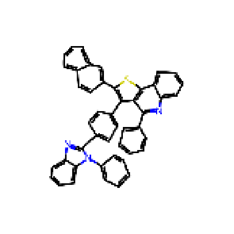 c1ccc(-c2nc3ccccc3c3sc(-c4ccc5ccccc5c4)c(-c4ccc(-c5nc6ccccc6n5-c5ccccc5)cc4)c23)cc1